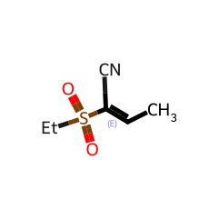 C/C=C(\C#N)S(=O)(=O)CC